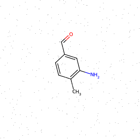 Cc1ccc([C]=O)cc1N